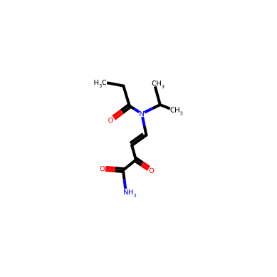 CCC(=O)N(/C=C/C(=O)C(N)=O)C(C)C